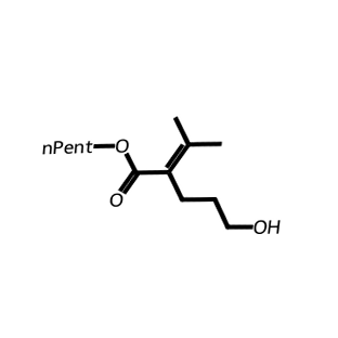 CCCCCOC(=O)C(CCCO)=C(C)C